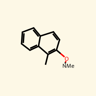 CNOc1ccc2ccccc2c1C